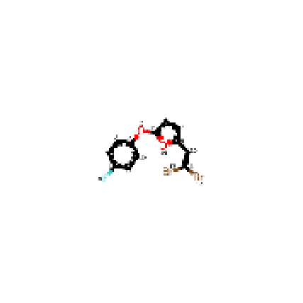 Fc1ccc(Oc2ccc(C=C(Br)Br)o2)cc1